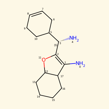 NC1=C([C@@H](N)C2CC=CCC2)OC2CCCCC12